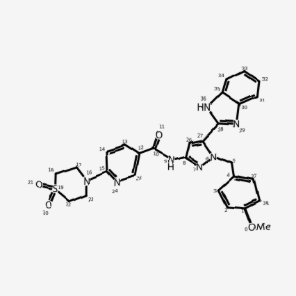 COc1ccc(Cn2nc(NC(=O)c3ccc(N4CCS(=O)(=O)CC4)nc3)cc2-c2nc3ccccc3[nH]2)cc1